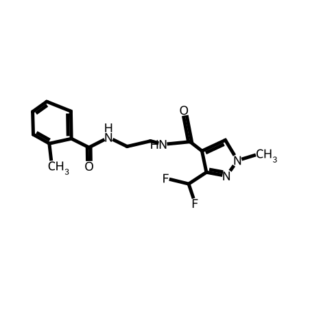 Cc1ccccc1C(=O)NCCNC(=O)c1cn(C)nc1C(F)F